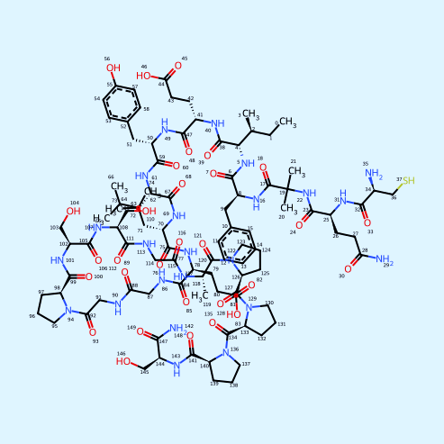 CC[C@H](C)[C@H](NC(=O)[C@H](Cc1ccccc1)NC(=O)C(C)(C)NC(=O)[C@H](CCC(N)=O)NC(=O)[C@@H](N)CS)C(=O)N[C@@H](CCC(=O)O)C(=O)N[C@@H](Cc1ccc(O)cc1)C(=O)N[C@@H](CC(C)C)C(=O)N[C@@H](CC(C)C)C(=O)N[C@@H](CCC(=O)O)C(=O)NCC(=O)NCC(=O)N1CCC[C@H]1C(=O)N[C@@H](CO)C(=O)N[C@@H](CO)C(=O)NCC(=O)N[C@@H](C)C(=O)N1CCC[C@H]1C(=O)N1CCC[C@H]1C(=O)N1CCC[C@H]1C(=O)N[C@@H](CO)C(N)=O